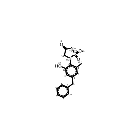 Cc1cc(Cc2ccccc2)cc(O)c1N1CC(=O)NS1(=O)=O